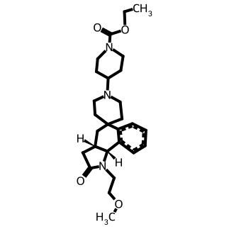 CCOC(=O)N1CCC(N2CCC3(CC2)C[C@H]2CC(=O)N(CCOC)[C@H]2c2ccccc23)CC1